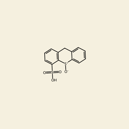 O=S(=O)(O)c1cccc2c1[S+]([O-])c1ccccc1C2